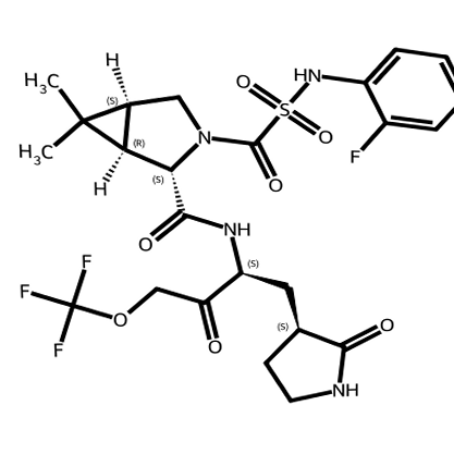 CC1(C)[C@@H]2[C@@H](C(=O)N[C@@H](C[C@@H]3CCNC3=O)C(=O)COC(F)(F)F)N(C(=O)S(=O)(=O)Nc3ccccc3F)C[C@@H]21